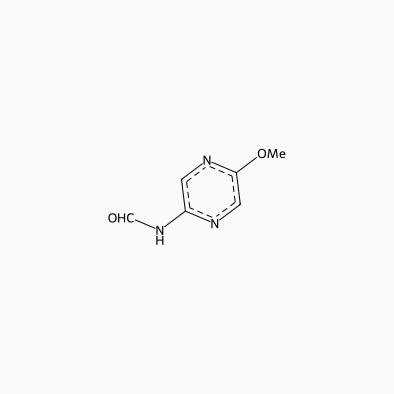 COc1cnc(NC=O)cn1